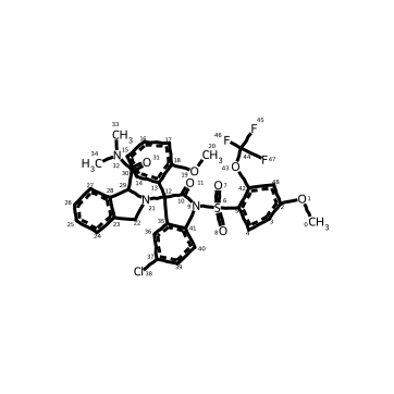 COc1ccc(S(=O)(=O)N2C(=O)C(c3ccccc3OC)(N3Cc4ccccc4C3C(=O)N(C)C)c3cc(Cl)ccc32)c(OC(F)(F)F)c1